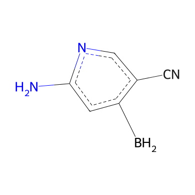 Bc1cc(N)ncc1C#N